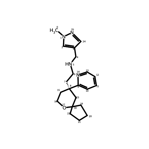 Cn1cc(CNCC[C@@]2(c3ccccn3)CCOC3(CCCC3)C2)cn1